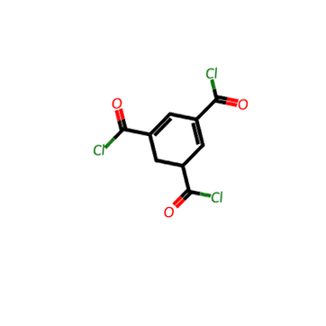 O=C(Cl)C1=CC(C(=O)Cl)CC(C(=O)Cl)=C1